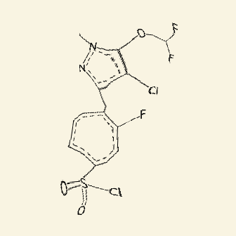 Cn1nc(-c2ccc(S(=O)(=O)Cl)cc2F)c(Cl)c1OC(F)F